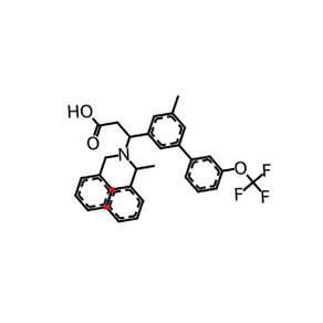 Cc1cc(-c2cccc(OC(F)(F)F)c2)cc(C(CC(=O)O)N(Cc2ccccc2)C(C)c2ccccc2)c1